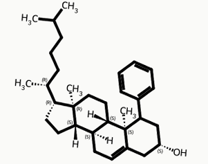 CC(C)CCC[C@@H](C)[C@H]1CC[C@H]2[C@@H]3CC=C4C[C@@H](O)CC(c5ccccc5)[C@]4(C)[C@H]3CC[C@]12C